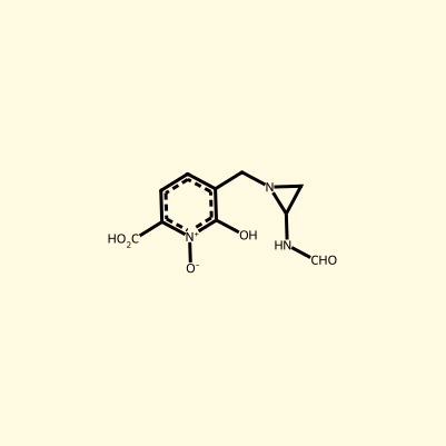 O=CNC1CN1Cc1ccc(C(=O)O)[n+]([O-])c1O